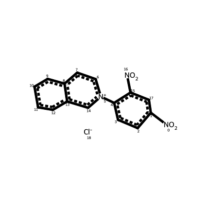 O=[N+]([O-])c1ccc(-[n+]2ccc3ccccc3c2)c([N+](=O)[O-])c1.[Cl-]